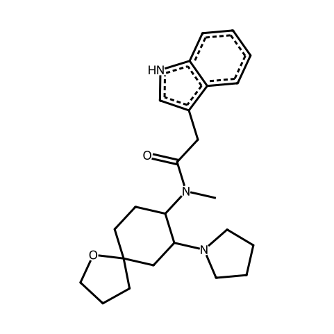 CN(C(=O)Cc1c[nH]c2ccccc12)C1CCC2(CCCO2)CC1N1CCCC1